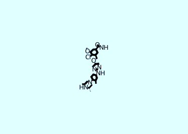 CNC(=O)c1cc(COc2cnc(Nc3ccc(N4C=C(C)N[C@@H](C)C4)c(C)c3)nc2)c(Cl)c(OC)c1